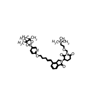 CC1(C)OB(c2ccc(OCCC/C=C/c3cccc4c3CN(C3CCC(=O)N(COCC[Si](C)(C)C)C3=O)C4=O)nc2)OC1(C)C